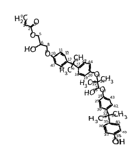 C=CC(=O)OCC(O)COc1ccc(C(C)(C)c2ccc(OC(C)(C)C(O)Oc3ccc(C(C)(C)c4ccc(O)cc4)cc3)cc2)cc1